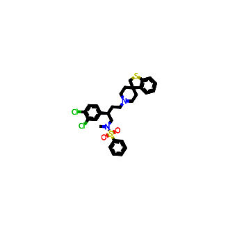 CN(CC(CCN1CCC2(CC1)CSc1ccccc12)c1ccc(Cl)c(Cl)c1)S(=O)(=O)c1ccccc1